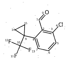 O=Cc1c(Cl)cccc1C1(C(F)(F)F)CC1